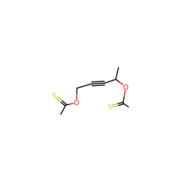 CC(=S)OCC#CC(C)OC(C)=S